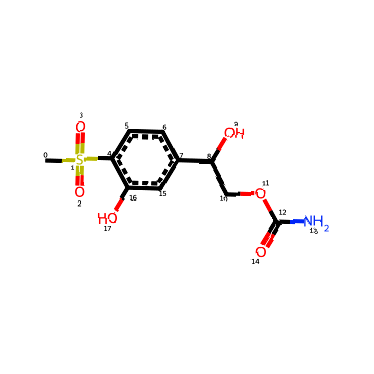 CS(=O)(=O)c1ccc(C(O)COC(N)=O)cc1O